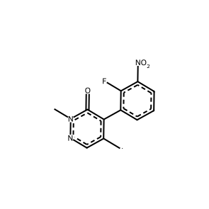 [CH2]c1cnn(C)c(=O)c1-c1cccc([N+](=O)[O-])c1F